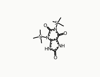 C[Si](C)(C)n1c(=O)c2[nH]c(=O)[nH]c2n([Si](C)(C)C)c1=O